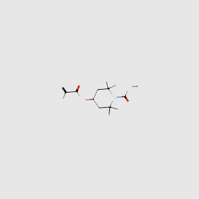 C=C(C)C(=O)OC1CC(C)(C)N(C(=O)OC(C)(C)C)C(C)(C)C1